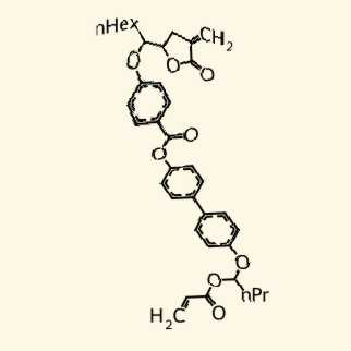 C=CC(=O)OC(CCC)Oc1ccc(-c2ccc(OC(=O)c3ccc(OC(CCCCCC)C4CC(=C)C(=O)O4)cc3)cc2)cc1